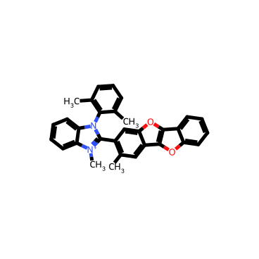 Cc1cc2c(cc1-c1n(-c3c(C)cccc3C)c3ccccc3[n+]1C)oc1c3ccccc3oc21